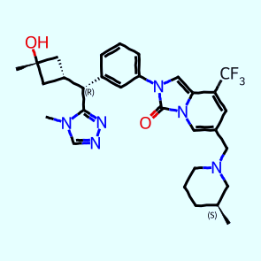 C[C@H]1CCCN(Cc2cc(C(F)(F)F)c3cn(-c4cccc([C@H](c5nncn5C)[C@H]5C[C@@](C)(O)C5)c4)c(=O)n3c2)C1